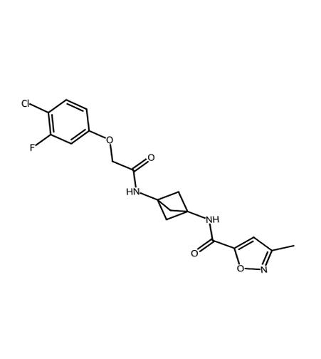 Cc1cc(C(=O)NC23CC(NC(=O)COc4ccc(Cl)c(F)c4)(C2)C3)on1